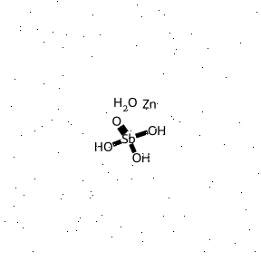 O.[O]=[Sb]([OH])([OH])[OH].[Zn]